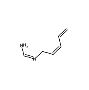 C=C/C=C\C/N=C\N